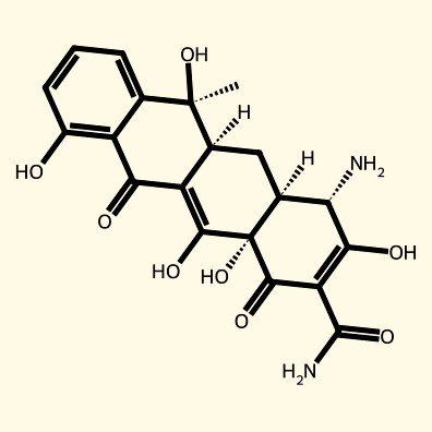 C[C@@]1(O)c2cccc(O)c2C(=O)C2=C(O)[C@]3(O)C(=O)C(C(N)=O)=C(O)[C@@H](N)[C@@H]3C[C@@H]21